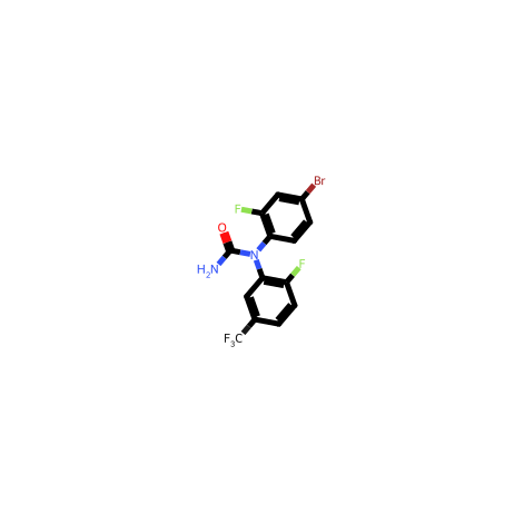 NC(=O)N(c1ccc(Br)cc1F)c1cc(C(F)(F)F)ccc1F